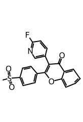 CS(=O)(=O)c1ccc(-c2oc3ccccc3c(=O)c2-c2ccc(F)nc2)cc1